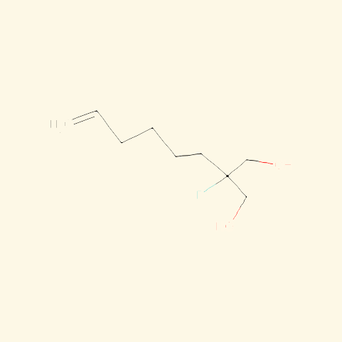 C=CCCCCC(F)(CO)CO